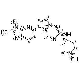 CCn1c(C)nc2ccc(-c3ccn4nc(NC5CCN(C)CC5)ncc34)nc21